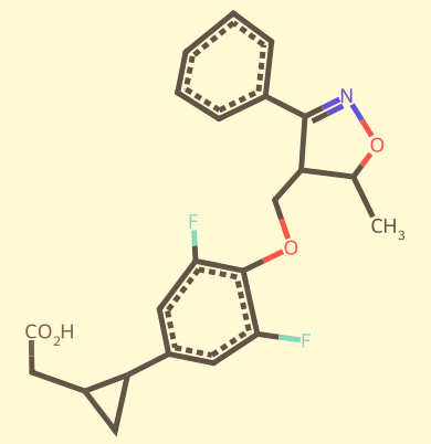 CC1ON=C(c2ccccc2)C1COc1c(F)cc(C2CC2CC(=O)O)cc1F